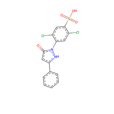 O=c1cc(-c2ccccc2)[nH]n1-c1cc(Cl)c(S(=O)(=O)O)cc1Cl